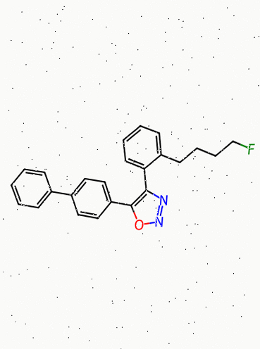 FCCCCc1ccccc1-c1nnoc1-c1ccc(-c2ccccc2)cc1